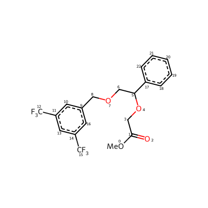 COC(=O)COC(COCc1cc(C(F)(F)F)cc(C(F)(F)F)c1)c1ccccc1